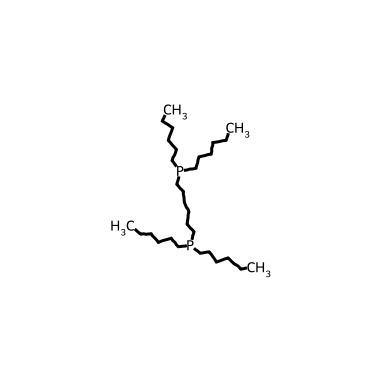 CCCCCCP(CCCCCC)CCCCCCP(CCCCCC)CCCCCC